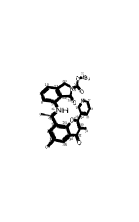 Cc1cc([C@@H](C)Nc2cccc3c2C(=O)N(C(=O)OC(C)(C)C)C3)c2oc(-c3cccnc3)c(C)c(=O)c2c1